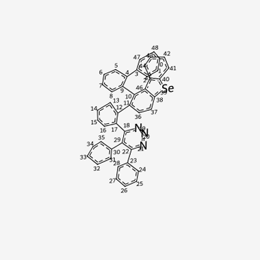 c1ccc(-c2ccccc2-c2c(-c3ccccc3-c3nnnc(-c4ccccc4)c3-c3ccccc3)ccc3[se]c4ccccc4c23)cc1